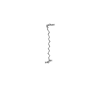 CCCCCCCCCCCCCCCCCCCCCCCCNO